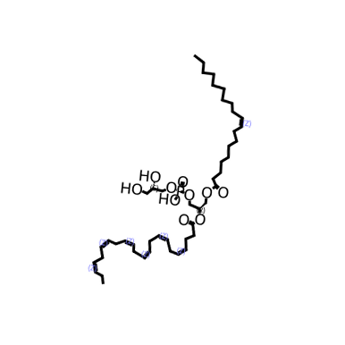 CC/C=C\C/C=C\C/C=C\C/C=C\C/C=C\C/C=C\CCC(=O)O[C@H](COC(=O)CCCCCCC/C=C\CCCCCCCCC)COP(=O)(O)OC[C@@H](O)CO